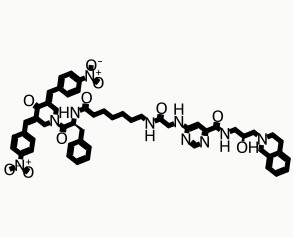 O=C(CNc1cc(C(=O)NC[C@H](O)CN2CCc3ccccc3C2)ncn1)NCCCCCCC(=O)N[C@@H](Cc1ccccc1)C(=O)N1C/C(=C\c2ccc([N+](=O)[O-])cc2)C(=O)/C(=C/c2ccc([N+](=O)[O-])cc2)C1